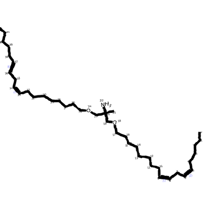 CCCCC/C=C\C/C=C\CCCCCCCCOCC(C)(N)COCCCCCCCC/C=C\C/C=C/CCCCC